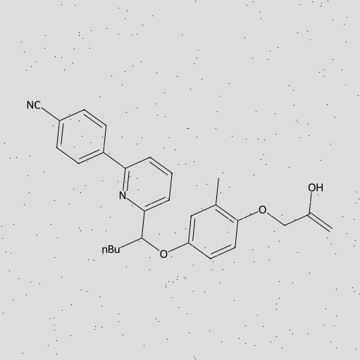 C=C(O)COc1ccc(OC(CCCC)c2cccc(-c3ccc(C#N)cc3)n2)cc1C